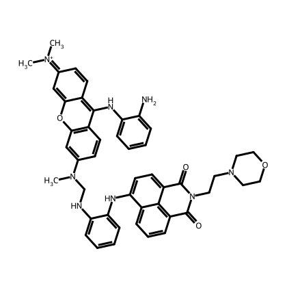 CN(CNc1ccccc1Nc1ccc2c3c(cccc13)C(=O)N(CCN1CCOCC1)C2=O)c1ccc2c(Nc3ccccc3N)c3ccc(=[N+](C)C)cc-3oc2c1